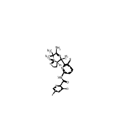 CC1(C)C(N)=N[C@](C)(c2nc(NC(=O)c3ncc(F)cc3Cl)ccc2F)[C@H]2CCN=[S@]21=O